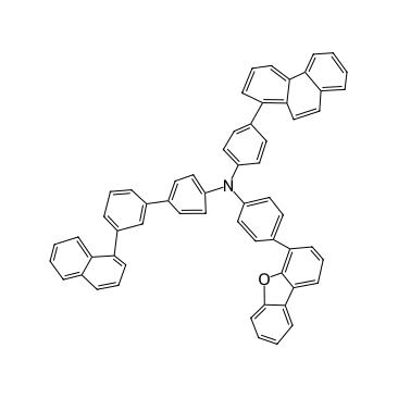 c1cc(-c2ccc(N(c3ccc(-c4cccc5c4ccc4ccccc45)cc3)c3ccc(-c4cccc5c4oc4ccccc45)cc3)cc2)cc(-c2cccc3ccccc23)c1